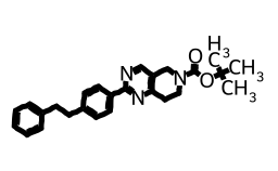 CC(C)(C)OC(=O)N1CCc2nc(-c3ccc(CCc4ccccc4)cc3)ncc2C1